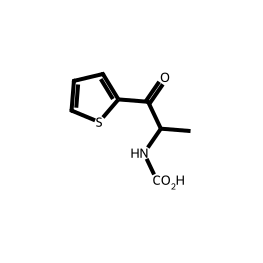 CC(NC(=O)O)C(=O)c1cccs1